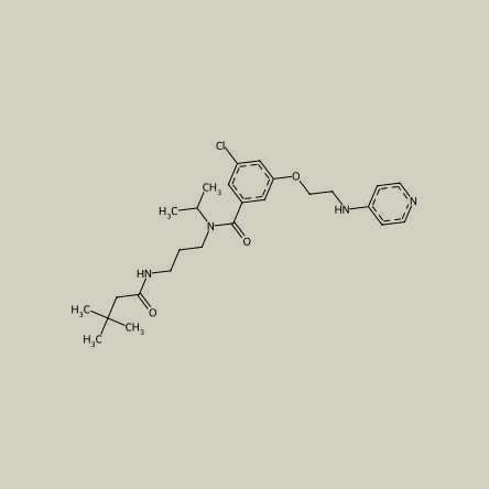 CC(C)N(CCCNC(=O)CC(C)(C)C)C(=O)c1cc(Cl)cc(OCCNc2ccncc2)c1